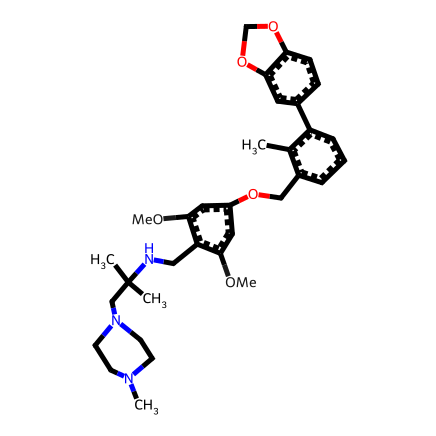 COc1cc(OCc2cccc(-c3ccc4c(c3)OCO4)c2C)cc(OC)c1CNC(C)(C)CN1CCN(C)CC1